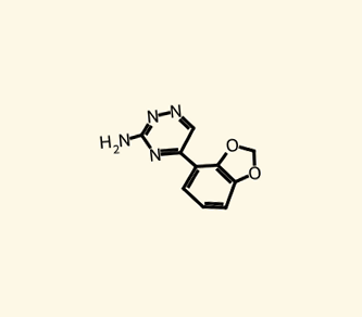 Nc1nncc(-c2cccc3c2OCO3)n1